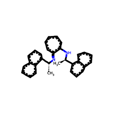 C[C@@H](N=c1cccccc1N[C@H](C)c1cccc2ccccc12)c1cccc2ccccc12